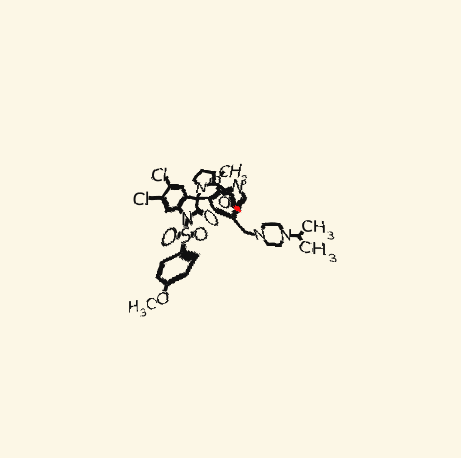 COc1ccc(S(=O)(=O)N2C(=O)C(c3cc(CN4CCN(C(C)C)CC4)ccc3OC)(N3CCCC3c3ncco3)c3cc(Cl)c(Cl)cc32)cc1